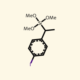 CO[Si](OC)(OC)C(C)c1ccc(I)cc1